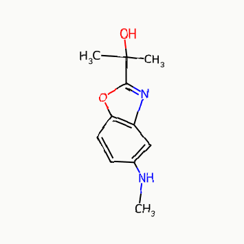 CNc1ccc2oc(C(C)(C)O)nc2c1